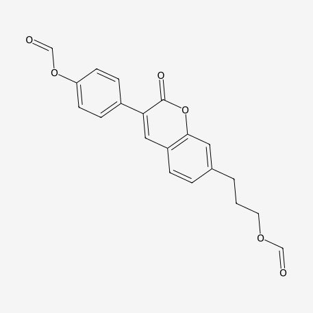 O=COCCCc1ccc2cc(-c3ccc(OC=O)cc3)c(=O)oc2c1